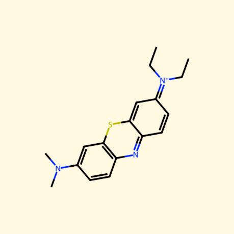 CC[N+](CC)=c1ccc2nc3ccc(N(C)C)cc3sc-2c1